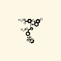 COC(=O)c1ccc2c(c1)N(C[C@@H]1CC[C@H]1[C@@H](OC)C1=CC[C@H](CS(=O)(=O)c3ncccn3)CC1)C[C@@]1(CCCc3cc(Cl)ccc31)CO2